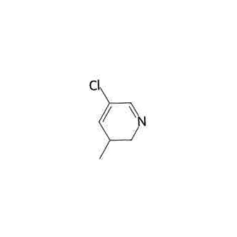 CC1C=C(Cl)C=NC1